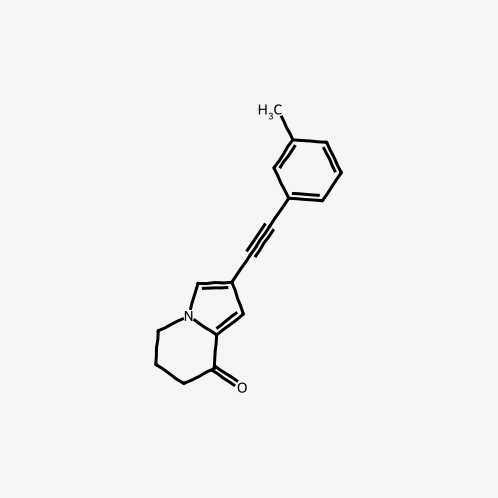 Cc1cccc(C#Cc2cc3n(c2)CCCC3=O)c1